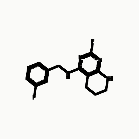 Fc1cccc(CNc2nc(F)nc3c2CCCN3)c1